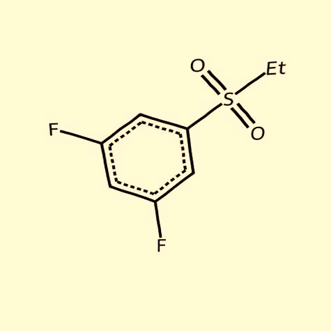 CCS(=O)(=O)c1cc(F)cc(F)c1